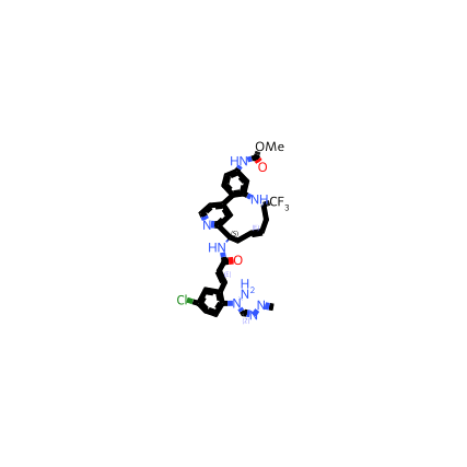 C=N/N=C\N(N)c1ccc(Cl)cc1/C=C/C(=O)N[C@H]1C/C=C/CC(C(F)(F)F)Nc2cc(NC(=O)OC)ccc2-c2ccnc1c2